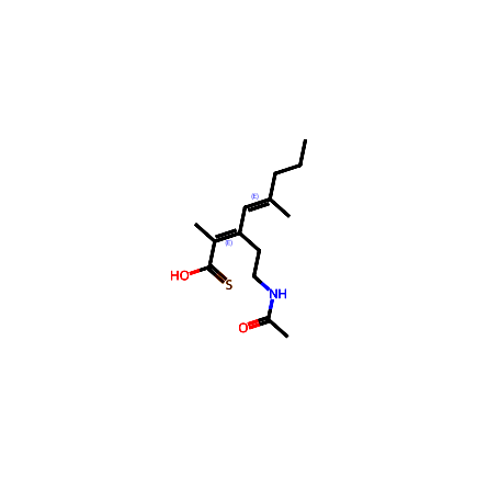 CCC/C(C)=C/C(CCNC(C)=O)=C(\C)C(O)=S